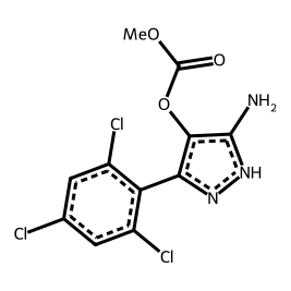 COC(=O)Oc1c(-c2c(Cl)cc(Cl)cc2Cl)n[nH]c1N